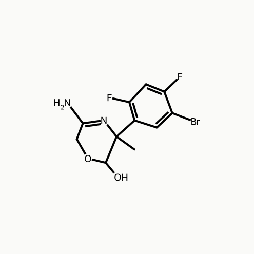 CC1(c2cc(Br)c(F)cc2F)N=C(N)COC1O